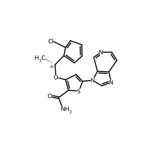 C[C@@H](Oc1cc(-n2cnc3ccncc32)sc1C(N)=O)c1ccccc1Cl